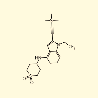 C[Si](C)(C)C#Cc1cc2c(NC3CCS(=O)(=O)CC3)cccc2n1CC(F)(F)F